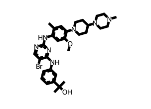 COc1cc(Nc2ncc(Br)c(Nc3cccc(C(C)(C)O)c3)n2)c(C)cc1N1CCC(N2CCN(C)CC2)CC1